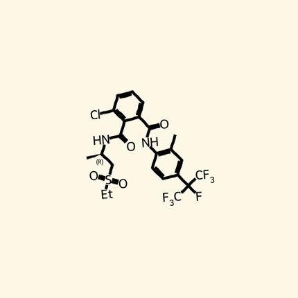 CCS(=O)(=O)C[C@@H](C)NC(=O)c1c(Cl)cccc1C(=O)Nc1ccc(C(F)(C(F)(F)F)C(F)(F)F)cc1C